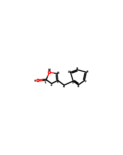 O=C1CC(Cc2ccccc2)=CO1